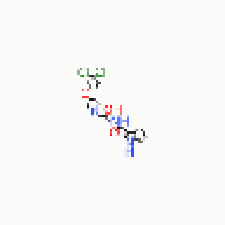 O=C(Cc1c[nH]c2ccccc12)NC[C@@H](O)CN1CCC(Oc2ccc(Cl)c(Cl)c2)CC1